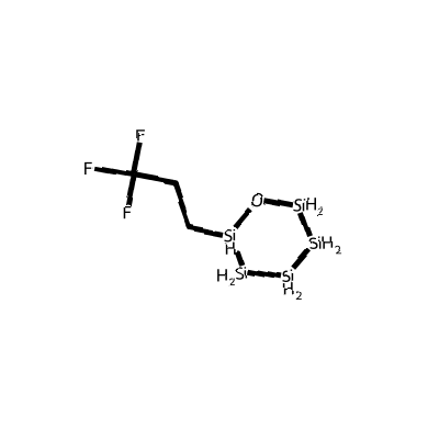 FC(F)(F)CC[SiH]1O[SiH2][SiH2][SiH2][SiH2]1